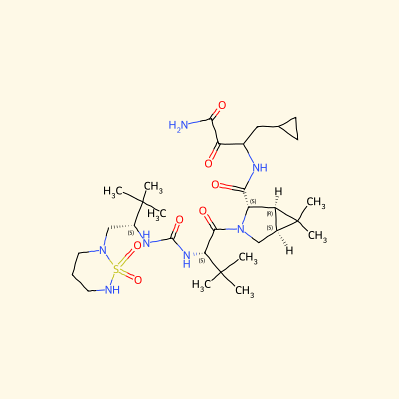 CC(C)(C)[C@H](NC(=O)N[C@H](CN1CCCNS1(=O)=O)C(C)(C)C)C(=O)N1C[C@H]2[C@@H]([C@H]1C(=O)NC(CC1CC1)C(=O)C(N)=O)C2(C)C